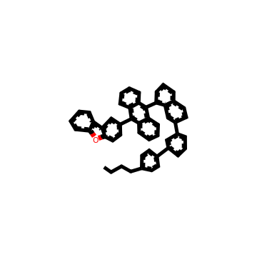 CCCCc1ccc(-c2cccc(-c3ccc4cccc(-c5c6ccccc6c(-c6ccc7oc8ccccc8c7c6)c6ccccc56)c4c3)c2)cc1